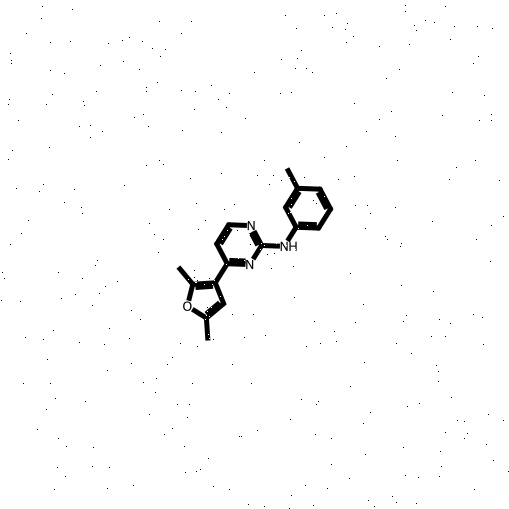 Cc1cccc(Nc2nccc(-c3cc(C)oc3C)n2)c1